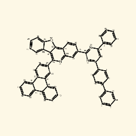 c1ccc(-c2ccc(-c3cc(-c4ccccc4)nc(-c4ccc5c(c4)nc(-c4ccc6c7ccccc7c7ccccc7c6c4)c4c6ccccc6oc54)n3)cc2)cc1